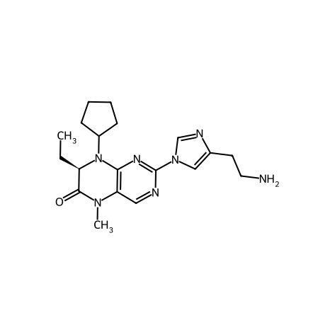 CC[C@@H]1C(=O)N(C)c2cnc(-n3cnc(CCN)c3)nc2N1C1CCCC1